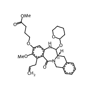 C=CCc1c(OC)c(OCCCC(=O)OC)cc2c1C(=O)N1Cc3ccccc3C[C@H]1C(OC1CCCCO1)N2